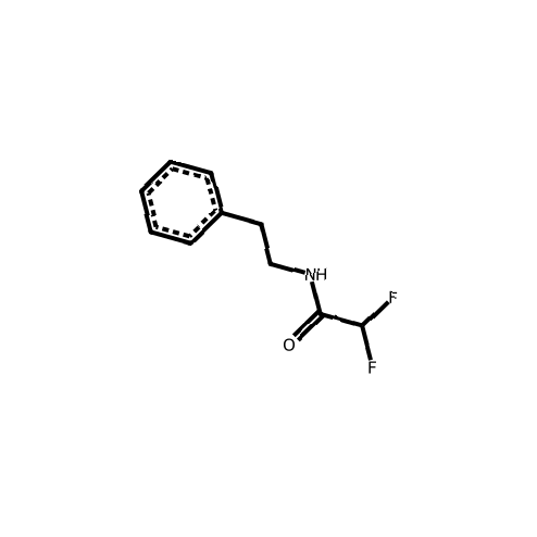 O=C(NCCc1ccccc1)C(F)F